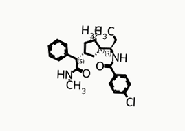 CC[C@@H](NC(=O)c1ccc(Cl)cc1)[C@@H]1CC([C@H](C(=O)NC)c2ccccc2)C[C@@H]1C